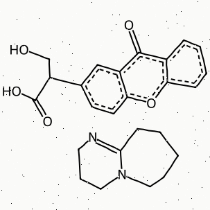 C1CCC2=NCCCN2CC1.O=C(O)C(CO)c1ccc2oc3ccccc3c(=O)c2c1